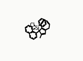 CC1=CC2=C(C=CC=CC2)C1(c1cccc2ccccc12)[Si](C)(Cl)c1ccccc1